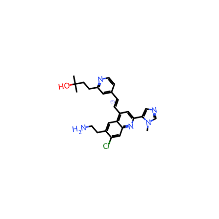 Cn1cncc1-c1cc(/C=C/c2ccnc(CCC(C)(C)O)c2)c2cc(CCN)c(Cl)cc2n1